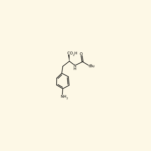 CC(C)(C)C(=O)N[C@@H](Cc1ccc(N)cc1)C(=O)O